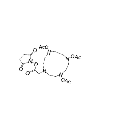 CC(=O)ON1CCN(CC(=O)ON2C(=O)CCC2=O)CCN(OC(C)=O)CCN(OC(C)=O)CC1